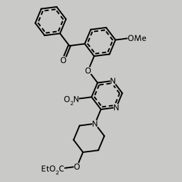 CCOC(=O)OC1CCN(c2ncnc(Oc3cc(OC)ccc3C(=O)c3ccccc3)c2[N+](=O)[O-])CC1